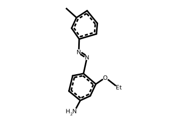 CCOc1cc(N)ccc1N=Nc1cccc(C)c1